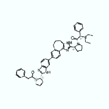 CCN(CC)[C@@H](C(=O)N1CCC[C@H]1c1nc2c([nH]1)CCCc1cc(-c3ccc4nc([C@@H]5CCCN5C(=O)Cc5ccccc5)[nH]c4c3)ccc1-2)c1ccccc1